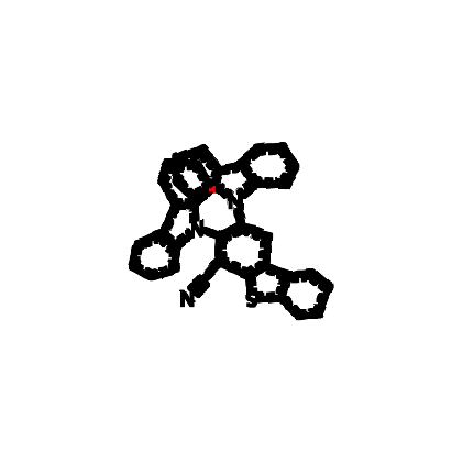 N#Cc1c(-n2c3ccccc3c3ccccc32)c(-n2c3ccccc3c3ccccc32)cc2c1sc1ccccc12